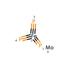 [Mo].[P]#[Fe](#[P])#[P]